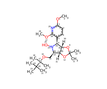 COc1ccc([C@H]2[C@@H]3OC(C)(C)O[C@@H]3[C@@H](CO[Si](C)(C)C(C)(C)C)N2O)c(OC)n1